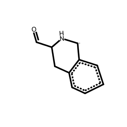 O=CC1Cc2ccccc2[CH]N1